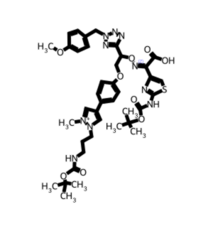 COc1ccc(Cn2nnc(C(COc3ccc(-c4cn(CCCNC(=O)OC(C)(C)C)[n+](C)c4)cc3)O/N=C(\C(=O)O)c3csc(NC(=O)OC(C)(C)C)n3)n2)cc1